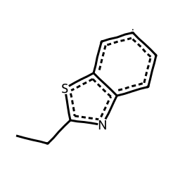 CCc1nc2cc[c]cc2s1